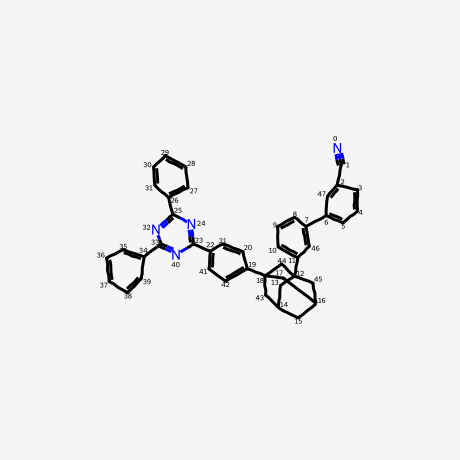 N#Cc1cccc(-c2cccc(C34CC5CC(CC(c6ccc(-c7nc(-c8ccccc8)nc(-c8ccccc8)n7)cc6)(C5)C3)C4)c2)c1